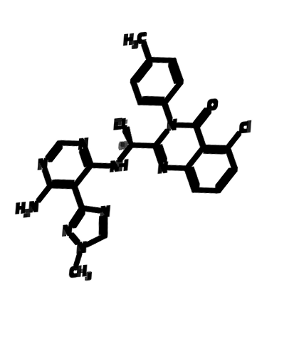 CC[C@H](Nc1ncnc(N)c1-c1ncn(C)n1)c1nc2cccc(Cl)c2c(=O)n1-c1ccc(C)cc1